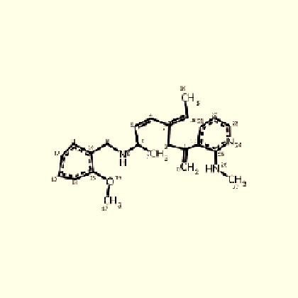 C=C(CC(/C=C\C(C)NCc1ccccc1OC)=C/C)c1cccnc1NC